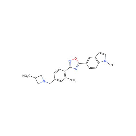 Cc1cc(CN2CC(C(=O)O)C2)ccc1-c1noc(-c2ccc3c(ccn3C(C)C)c2)n1